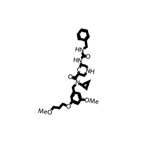 COCCCOc1cc(CN(C(=O)C2CNCC(NC(=O)NCc3ccccc3)C2)C2CC2)cc(OC)c1